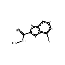 N=C(NN)c1cc2c(F)cccc2o1